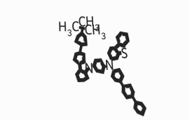 CC(C)(C)c1ccc(-c2ccc3c4ccccc4n(-c4ccc(N(c5ccc(-c6ccc(-c7ccccc7)cc6)cc5)c5ccc6c(c5)sc5ccccc56)cc4)c3c2)cc1